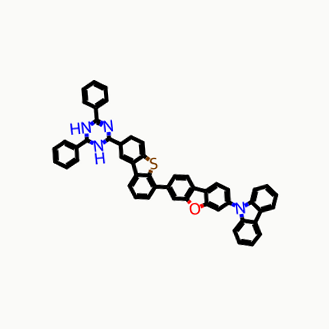 C1=c2sc3c(-c4ccc5c(c4)oc4cc(-n6c7ccccc7c7ccccc76)ccc45)cccc3c2=CC(C2N=C(c3ccccc3)NC(c3ccccc3)N2)C1